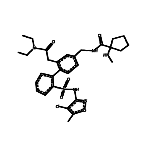 CCN(CC)C(=O)Cc1cc(CNC(=O)C2(NC)CCCC2)ccc1-c1ccccc1S(=O)(=O)Nc1noc(C)c1Cl